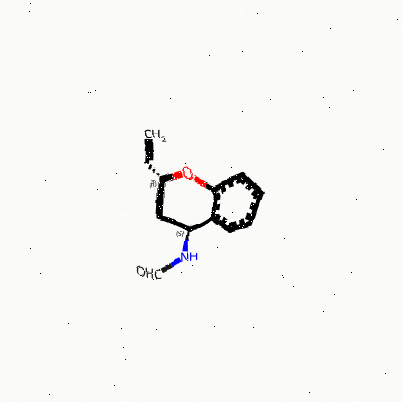 C=C[C@H]1C[C@H](NC=O)c2ccccc2O1